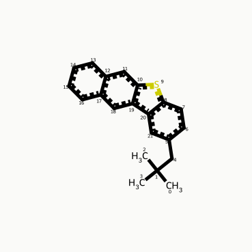 CC(C)(C)Cc1ccc2sc3cc4ccccc4cc3c2c1